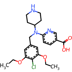 CCOc1cc(CN(c2ccc(C(=O)O)cn2)C2CCNCC2)cc(OCC)c1Cl